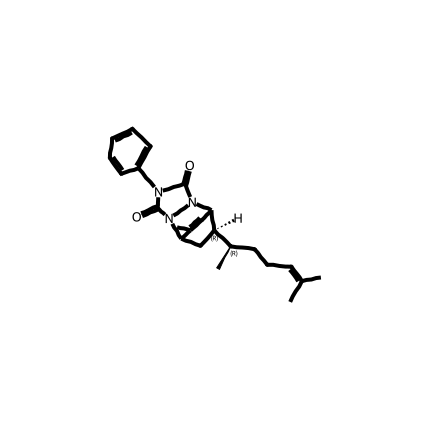 CC(C)=CCC[C@@H](C)[C@H]1CC2C(C)=CC1n1c(=O)n(-c3ccccc3)c(=O)n12